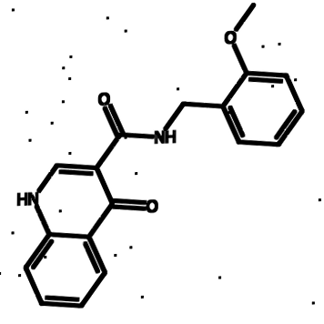 COc1ccccc1CNC(=O)c1c[nH]c2ccccc2c1=O